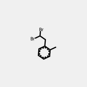 Cc1ccccc1CC(Br)Br